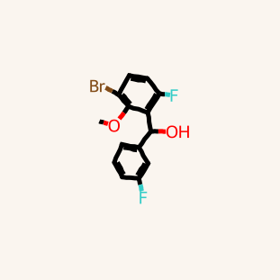 COc1c(Br)ccc(F)c1C(O)c1cccc(F)c1